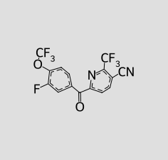 N#Cc1ccc(C(=O)c2ccc(OC(F)(F)F)c(F)c2)nc1C(F)(F)F